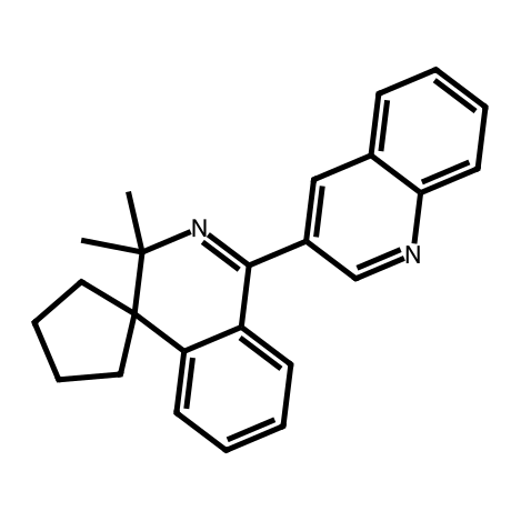 CC1(C)N=C(c2cnc3ccccc3c2)c2ccccc2C12CCCC2